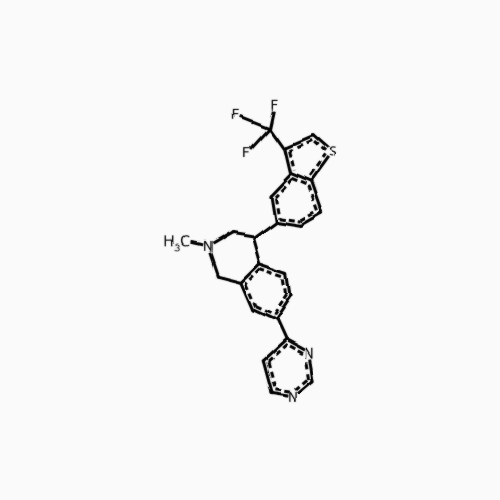 CN1Cc2cc(-c3ccncn3)ccc2C(c2ccc3scc(C(F)(F)F)c3c2)C1